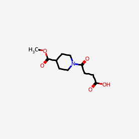 COC(=O)C1CCN(C(=O)CCC(=O)O)CC1